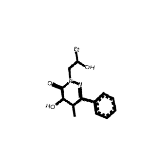 CCC(O)CN1N=C(c2ccccc2)C(C)C(O)C1=O